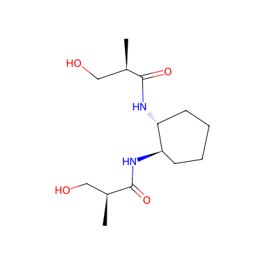 C[C@H](CO)C(=O)N[C@@H]1CCCC[C@H]1NC(=O)[C@@H](C)CO